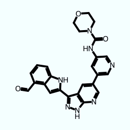 O=Cc1cccc2[nH]c(-c3n[nH]c4ncc(-c5cncc(NC(=O)N6CCOCC6)c5)cc34)cc12